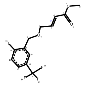 COC(=O)/C=C/COCc1cc(C(F)(F)F)ccc1I